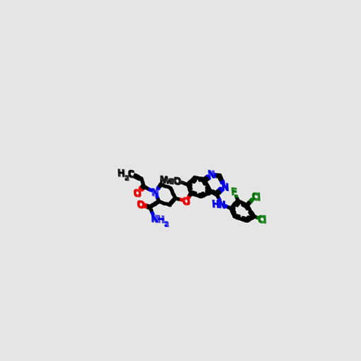 C=CC(=O)N1CCC(Oc2cc3c(Nc4ccc(Cl)c(Cl)c4F)ncnc3cc2OC)CC1C(N)=O